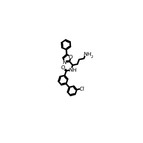 NCCCC(NC(=O)c1cccc(-c2cccc(Cl)c2)c1)c1ncc(-c2ccccc2)o1